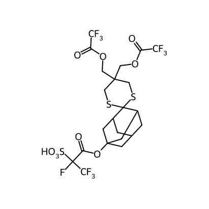 O=C(OCC1(COC(=O)C(F)(F)F)CSC2(SC1)C1CC3CC2CC(OC(=O)C(F)(C(F)(F)F)S(=O)(=O)O)(C3)C1)C(F)(F)F